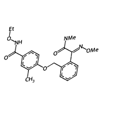 CCONC(=O)c1ccc(OCc2ccccc2/C(=N\OC)C(=O)NC)c(C)c1